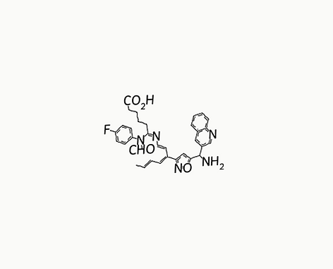 C/C=C/C=C(\C=C\N=C(\CCCCC(=O)O)N(C=O)c1ccc(F)cc1)c1cc(C(N)c2cnc3ccccc3c2)on1